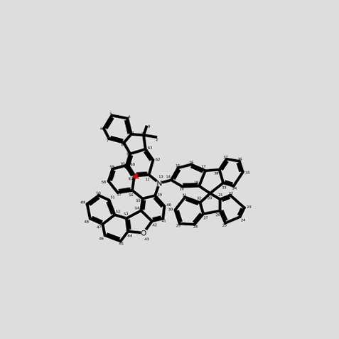 CC1(C)c2ccccc2-c2ccc(N(c3ccc4c(c3)C3(c5ccccc5-c5ccccc53)c3ccccc3-4)c3ccc4oc5ccc6ccccc6c5c4c3-c3ccccc3)cc21